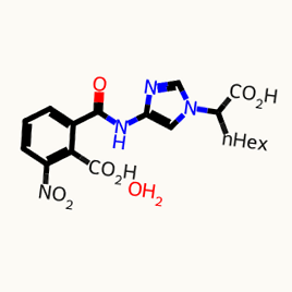 CCCCCCC(C(=O)O)n1cnc(NC(=O)c2cccc([N+](=O)[O-])c2C(=O)O)c1.O